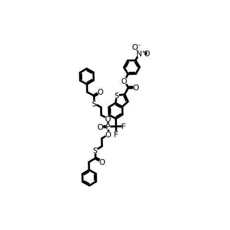 O=C(Cc1ccccc1)SCCOP(=O)(OCCSC(=O)Cc1ccccc1)C(F)(F)c1ccc2sc(C(=O)Oc3ccc([N+](=O)[O-])cc3)cc2c1